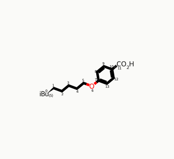 CC[C@H](C)CCCCCOc1ccc(C(=O)O)cc1